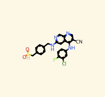 N#Cc1cnc2cnc(NCc3ccc(C[SH](=O)=O)cc3)cc2c1Nc1ccc(F)c(Cl)c1